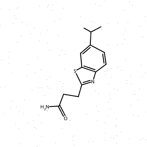 CC(C)c1ccc2nc(CCC(N)=O)sc2c1